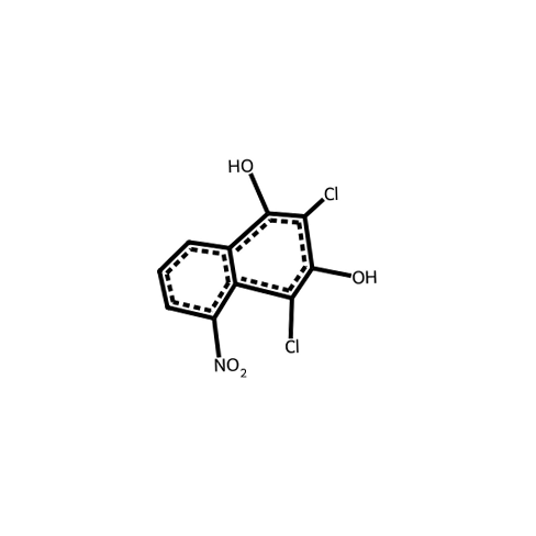 O=[N+]([O-])c1cccc2c(O)c(Cl)c(O)c(Cl)c12